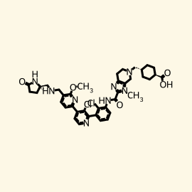 COc1nc(-c2ccnc(-c3cccc(NC(=O)c4nc5c(n4C)CN(C[C@H]4CC[C@H](C(=O)O)CC4)CC5)c3Cl)c2Cl)ccc1CNC[C@H]1CCC(=O)N1